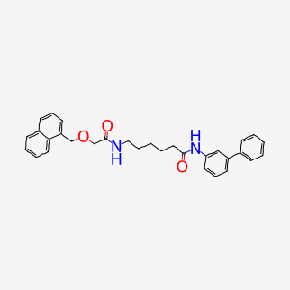 O=C(COCc1cccc2ccccc12)NCCCCCC(=O)Nc1cccc(-c2ccccc2)c1